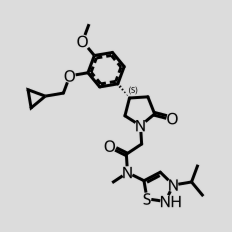 COc1ccc([C@@H]2CC(=O)N(CC(=O)N(C)C3=CN(C(C)C)NS3)C2)cc1OCC1CC1